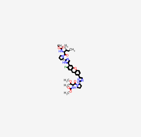 CC[C@H](C)[C@H](NC(=O)OC)C(=O)N1CCC[C@H]1c1ncc(-c2cc3c(cc2F)Cc2cc(-c4cnc([C@@H]5CCCN5C(=O)[C@@H](NC(=O)OC)[C@@H](C)OC)[nH]4)ccc2O3)[nH]1